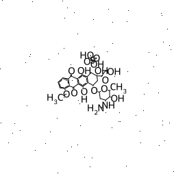 COc1cccc2c1C(=O)c1c(O)c3c(c(O)c1C2=O)C[C@@](O)(C(=O)CO)C[C@@H]3OC1CC(NN)C(O)C(C)O1.O=S(=O)(O)O